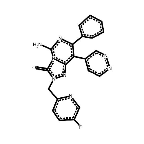 Nc1nc(-c2ccccc2)c(-c2ccnnc2)c2nn(Cc3ccc(F)cn3)c(=O)n12